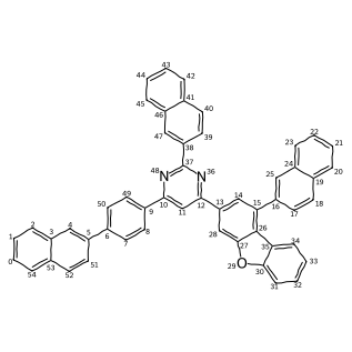 c1ccc2cc(-c3ccc(-c4cc(-c5cc(-c6ccc7ccccc7c6)c6c(c5)oc5ccccc56)nc(-c5ccc6ccccc6c5)n4)cc3)ccc2c1